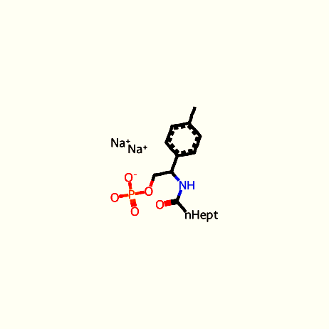 CCCCCCCC(=O)NC(COP(=O)([O-])[O-])c1ccc(C)cc1.[Na+].[Na+]